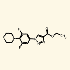 CCOC(=O)c1cn(-c2cc(F)c(N3CCSCC3)c(F)c2)nn1